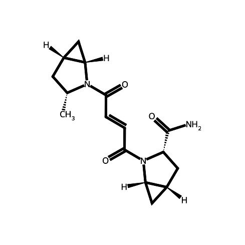 C[C@@H]1C[C@@H]2C[C@@H]2N1C(=O)/C=C/C(=O)N1[C@H](C(N)=O)C[C@@H]2C[C@@H]21